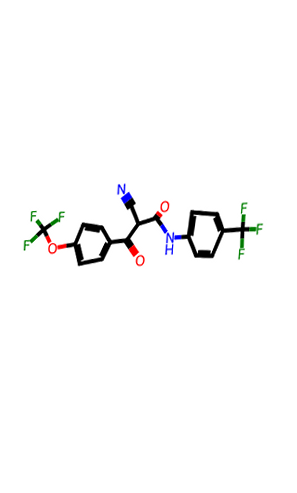 N#CC(C(=O)Nc1ccc(C(F)(F)F)cc1)C(=O)c1ccc(OC(F)(F)F)cc1